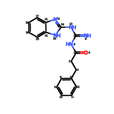 N=C(NC(=O)CCc1ccccc1)Nc1nc2ccccc2[nH]1